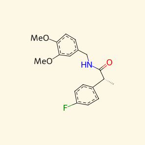 COc1ccc(CNC(=O)[C@H](C)c2ccc(F)cc2)cc1OC